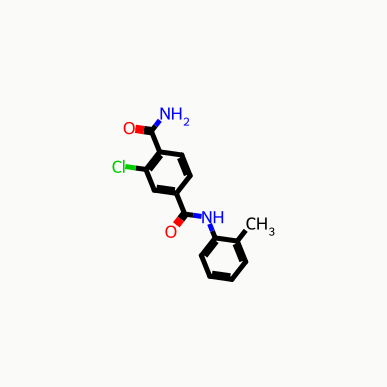 Cc1ccccc1NC(=O)c1ccc(C(N)=O)c(Cl)c1